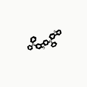 c1ccc(N(c2ccc3c(c2)sc2ccc(N(c4ccccc4)c4ccccc4)cc23)c2ccc3sc4ccccc4c3c2)cc1